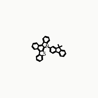 CC1(C)c2ccccc2-c2ccc(-n3c4ccccc4c4c5ccccc5c5c6ccccc6sc5c43)cc21